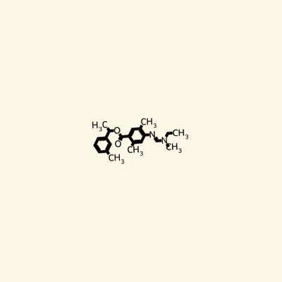 CCN(C)/C=N/c1cc(C)c(C(=O)OC(C)c2cccc(C)c2)cc1C